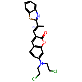 C/C(=C\c1cc2ccc(N(CCCl)CCCl)cc2oc1=O)c1nc2ccccc2s1